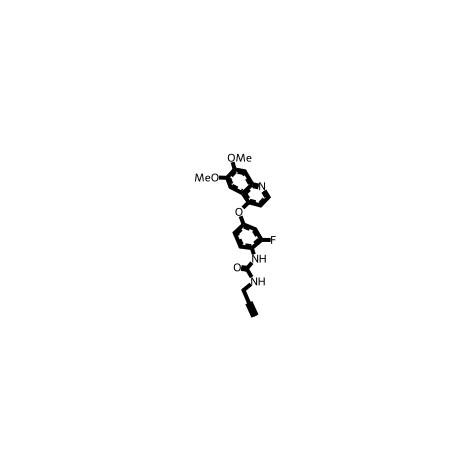 C#CCNC(=O)Nc1ccc(Oc2ccnc3cc(OC)c(OC)cc23)cc1F